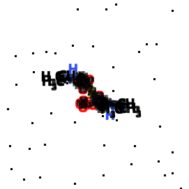 C[N+](C)(C)CCCNc1ccc2c3c(cccc13)C(=O)N(CCSSCCN1C(=O)c3cccc4c(NCCC[N+](C)(C)C)ccc(c34)C1=O)C2=O.O=S(=O)([O-])[O-]